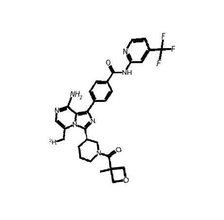 [2H]Cc1cnc(N)c2c(-c3ccc(C(=O)Nc4cc(C(F)(F)F)ccn4)cc3)nc([C@@H]3CCCN(C(=O)C4(C)COC4)C3)n12